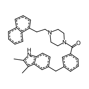 Cc1[nH]c2ccc(Cc3cccc(C(=O)N4CCN(CCc5cccc6ccccc56)CC4)c3)cc2c1C